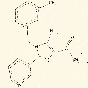 NC(=O)C1=C(N)N(Cc2cccc(C(F)(F)F)c2)C(c2cccnc2)S1